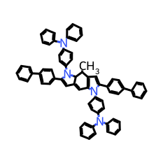 CC1c2cc(-c3ccc(-c4ccccc4)cc3)n(-c3ccc(N(c4ccccc4)c4ccccc4)cc3)c2C=C2C=C(c3ccc(-c4ccccc4)cc3)N(c3ccc(N(c4ccccc4)c4ccccc4)cc3)C21